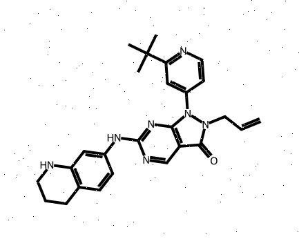 C=CCn1c(=O)c2cnc(Nc3ccc4c(c3)NCCC4)nc2n1-c1ccnc(C(C)(C)C)c1